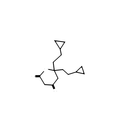 O=C1CC(=O)OC(CCC2CC2)(CCC2CC2)C1